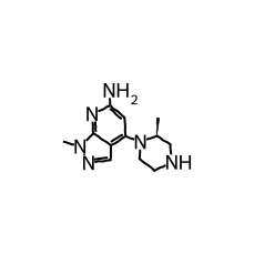 C[C@H]1CNCCN1c1cc(N)nc2c1cnn2C